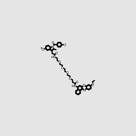 CC/N=c1/ccc2nc3c(cc(NC(=O)CCOCCOCCOCCOCCNC(=O)Cc4c(C)n(C(=O)c5ccc(Cl)cc5)c5ccc(OC)cc45)c4ccccc43)oc-2c1